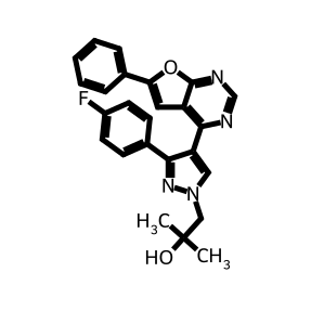 CC(C)(O)Cn1cc(-c2ncnc3oc(-c4ccccc4)cc23)c(-c2ccc(F)cc2)n1